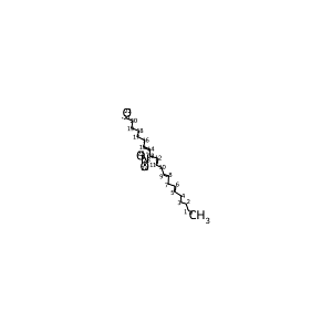 CCCCC/C=C/C/C=C/C/C=C/C(/C=C/CCCCC[C]=O)[N+](=O)[O-]